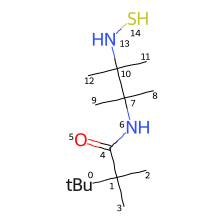 CC(C)(C)C(C)(C)C(=O)NC(C)(C)C(C)(C)NS